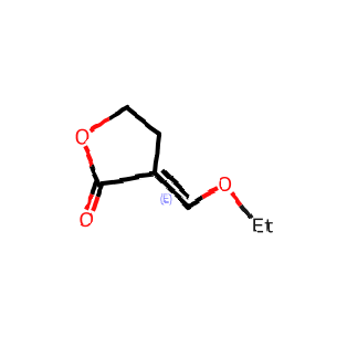 CCO/C=C1\CCOC1=O